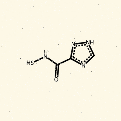 O=C(NS)c1nc[nH]n1